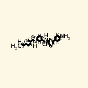 C=C/C=C/C=C\C(=C/C)C(=O)Nc1cccc([C@H](C)Nc2cncc(-c3ccc(N)cc3)n2)c1